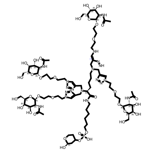 CC(=O)N[C@H]1[C@H](OCCOCCN/C=C(/CN(CCCC[C@@H](C(=O)NCCCCCCOP(=O)(O)OC2CCO[C@H](O)C2)N(Cc2cn(CCOCCO[C@@H]3O[C@H](CO)[C@H](O)[C@H](O)[C@H]3NC(C)=O)nn2)Cc2cn(CCOCCO[C@@H]3O[C@H](CO)[C@H](O)[C@H](O)[C@H]3NC(C)=O)nn2)Cc2cn(CCOCCO[C@@H]3O[C@H](CO)[C@H](O)[C@H](O)[C@H]3NC(C)=O)nn2)N=N)O[C@H](CO)[C@H](O)[C@@H]1O